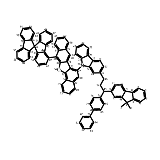 CC1(C)c2ccccc2-c2ccc(C(CCc3ccc4c5ccccc5n(-c5cc6ccccc6c6oc7c(-c8cccc9c8-c8ccccc8C98c9ccccc9-c9ccccc98)c8ccccc8cc7c56)c4c3)c3ccc(-c4ccccc4)cc3)cc21